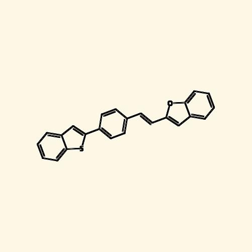 C(=Cc1cc2ccccc2o1)c1ccc(-c2cc3ccccc3s2)cc1